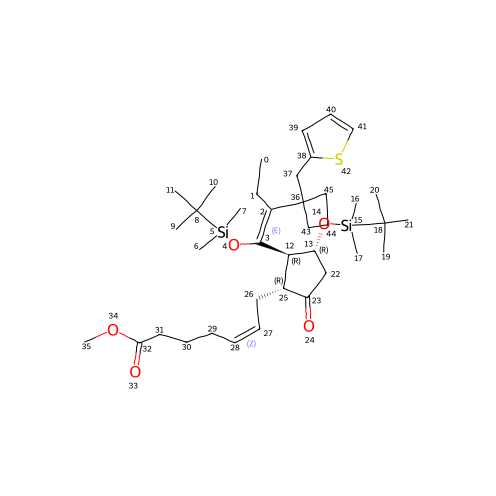 CC/C(=C(\O[Si](C)(C)C(C)(C)C)[C@H]1[C@H](O[Si](C)(C)C(C)(C)C)CC(=O)[C@@H]1C/C=C\CCCC(=O)OC)C1(Cc2cccs2)CCC1